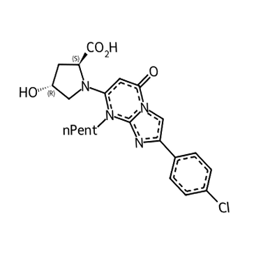 CCCCCn1c(N2C[C@H](O)C[C@H]2C(=O)O)cc(=O)n2cc(-c3ccc(Cl)cc3)nc12